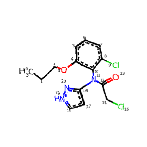 CCCOc1cccc(Cl)c1N(C(=O)CCl)c1cc[nH]n1